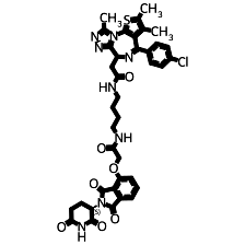 Cc1sc2c(c1C)C(c1ccc(Cl)cc1)=NC(CC(=O)NCCCCNC(=O)COc1cccc3c1C(=O)N([C@H]1CCC(=O)NC1=O)C3=O)c1nnc(C)n1-2